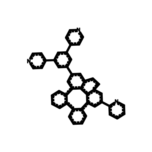 c1ccc(-c2cc3ccc4cc(-c5cc(-c6ccncc6)cc(-c6ccncc6)c5)cc5c6ccccc6c6ccccc6c(c2)c3c45)nc1